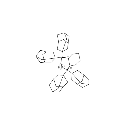 PC([C@@H]1CCCC[C@@H]1C(P)(C12CC3CC(CC(C3)C1)C2)C12CC3CC(CC(C3)C1)C2)(C12CC3CC(CC(C3)C1)C2)C12CC3CC(CC(C3)C1)C2